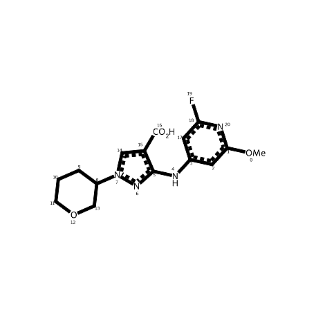 COc1cc(Nc2nn(C3CCCOC3)cc2C(=O)O)cc(F)n1